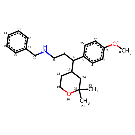 COc1ccc(C(CCNCc2ccccc2)C2CCOC(C)(C)C2)cc1